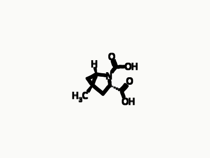 C[C@@]12C[C@@H]1N(C(=O)O)[C@H](C(=O)O)C2